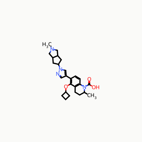 CC1CCc2c(ccc(-c3cnn(C4CC5CN(C)CC5C4)c3)c2OC2CCC2)N1C(=O)O